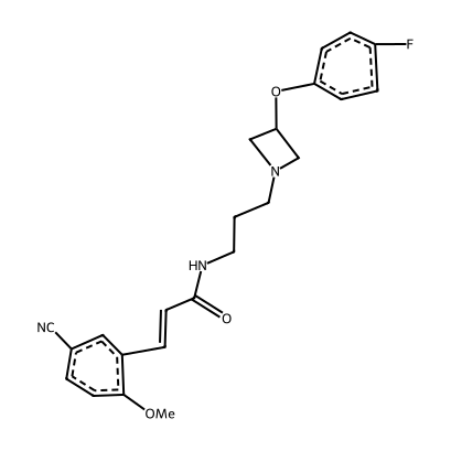 COc1ccc(C#N)cc1/C=C/C(=O)NCCCN1CC(Oc2ccc(F)cc2)C1